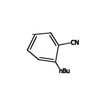 CCCCc1cc[c]cc1C#N